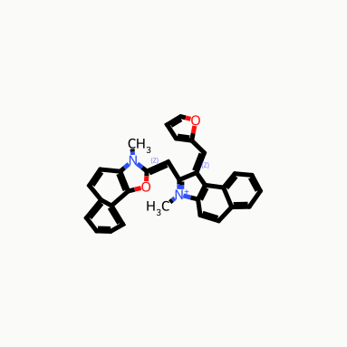 CN1/C(=C/C2=[N+](C)c3ccc4ccccc4c3/C2=C/c2ccco2)Oc2c1ccc1ccccc21